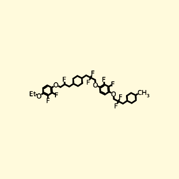 CCOc1ccc(OCC(F)CC2CCC(CC(F)(F)COc3ccc(OCC(F)(F)CC4CCC(C)CC4)c(F)c3F)CC2)c(F)c1F